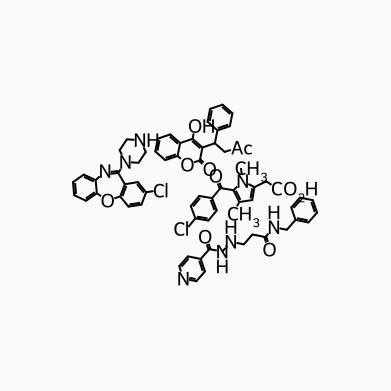 CC(=O)CC(c1ccccc1)c1c(O)c2ccccc2oc1=O.Cc1cc(CC(=O)O)n(C)c1C(=O)c1ccc(Cl)cc1.Clc1ccc2c(c1)C(N1CCNCC1)=Nc1ccccc1O2.O=C(CCNNC(=O)c1ccncc1)NCc1ccccc1